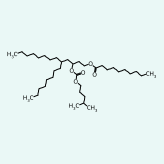 CCCCCCCCCC(=O)OCCC(CC(CCCCCCCC)CCCCCCCC)OC(=O)OCCCC(C)C